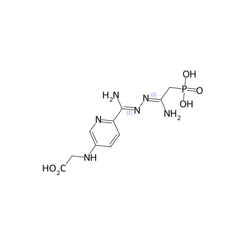 N/C(CP(=O)(O)O)=N\N=C(/N)c1ccc(NCC(=O)O)cn1